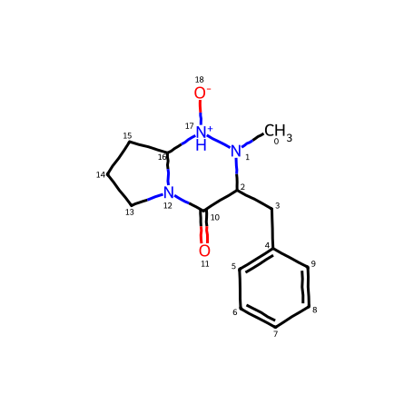 CN1C(Cc2ccccc2)C(=O)N2CCCC2[NH+]1[O-]